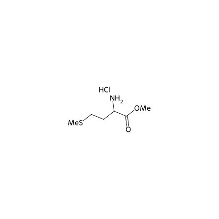 COC(=O)C(N)CCSC.Cl